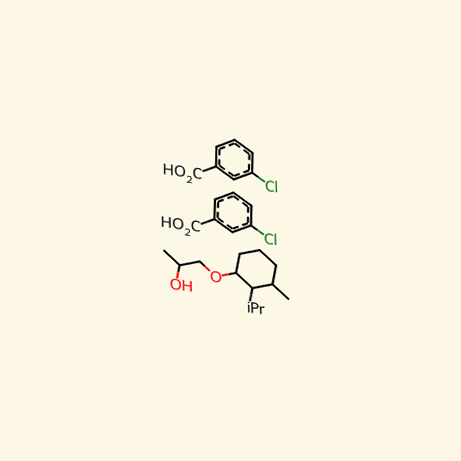 CC(O)COC1CCCC(C)C1C(C)C.O=C(O)c1cccc(Cl)c1.O=C(O)c1cccc(Cl)c1